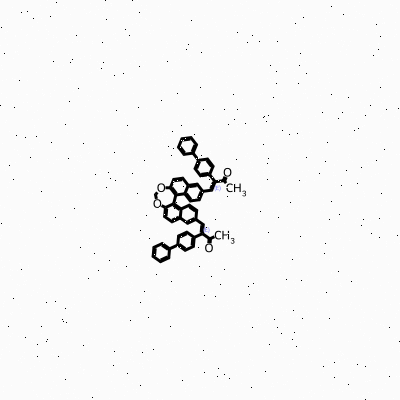 CC(=O)/C(=C/c1ccc2c3c(ccc2c1)OCOc1ccc2cc(/C=C(/C(C)=O)c4ccc(-c5ccccc5)cc4)ccc2c1-3)c1ccc(-c2ccccc2)cc1